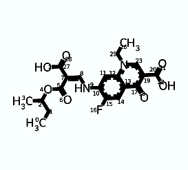 CCC(C)OC(=O)C(=CNc1cc2c(cc1F)c(=O)c(C(=O)O)cn2CC)C(=O)O